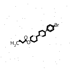 C=CCC(=O)O[C@H]1CC[C@H]([C@H]2CC[C@H](c3ccc(Br)cc3)CC2)CC1